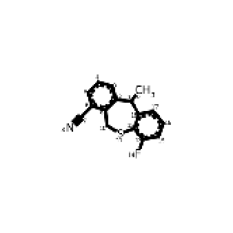 CC1c2cccc(C#N)c2CSc2c(F)cccc21